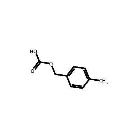 Cc1ccc(COC(=O)O)cc1